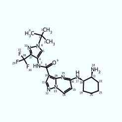 CC(C)(C)n1cc(NC(=O)c2cnn3ccc(N[C@@H]4CCCC[C@@H]4N)nc23)c(C(F)(F)F)n1